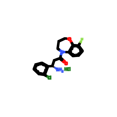 Cl.N[C@@H](CC(=O)N1CCCOc2c(F)cccc21)c1ccccc1Cl